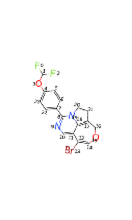 FC(F)Oc1ccc(C2=NC=C3C(Br)=COCC4=C3N2CC4)cc1